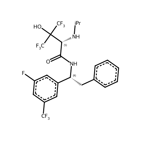 CC(C)N[C@H](C(=O)N[C@H](Cc1ccccc1)c1cc(F)cc(C(F)(F)F)c1)C(O)(C(F)(F)F)C(F)(F)F